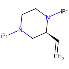 C=C[C@H]1CN(C(C)C)CCN1C(C)C